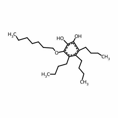 CCCCCCCOc1c(O)c(O)c(CCCC)c(CCCC)c1CCCC